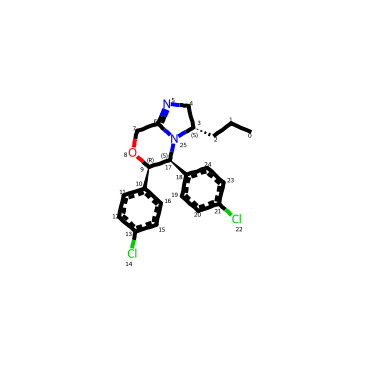 CCC[C@H]1CN=C2CO[C@H](c3ccc(Cl)cc3)[C@H](c3ccc(Cl)cc3)N21